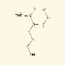 O=CC1CCCCN1CCCO